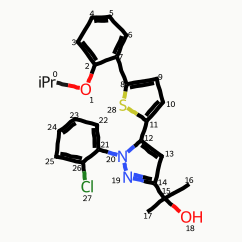 CC(C)Oc1ccccc1-c1ccc(-c2cc(C(C)(C)O)nn2-c2ccccc2Cl)s1